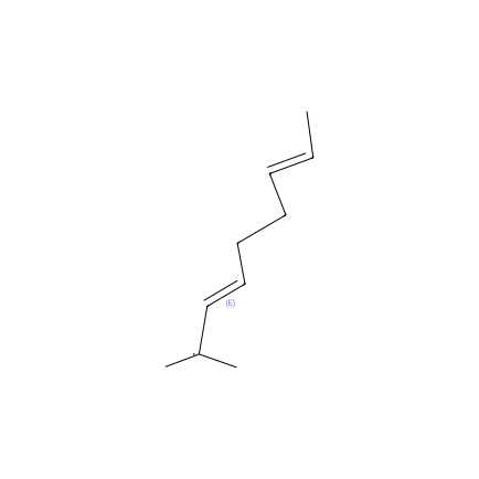 CC=CCC/C=C/[C](C)C